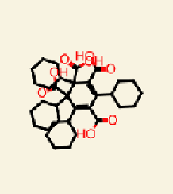 O=C(O)C1=C(C2CCCCC2)C(C(=O)O)(C2CCCCC2)C(C(=O)O)(C2CCCCC2)C(C(=O)O)=C1C1CCCCC1